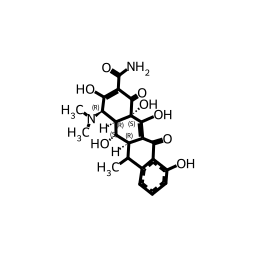 CC1c2cccc(O)c2C(=O)C2=C(O)[C@]3(O)C(=O)C(C(N)=O)=C(O)[C@H](N(C)C)[C@@H]3[C@@H](O)[C@@H]21